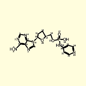 Nc1ncnc2c1ncn2[C@H]1CC[C@@H](COP(=O)(O)Nc2ccncc2)O1